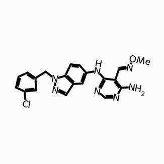 CON=Cc1c(N)ncnc1Nc1ccc2c(cnn2Cc2cccc(Cl)c2)c1